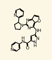 O=C(Nc1ccncc1)c1cc(Nc2nc(N3CCCC3c3ccccn3)nc3ccoc23)n[nH]1